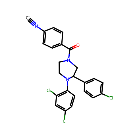 [C-]#[N+]c1ccc(C(=O)N2CCN(c3ccc(Cl)cc3Cl)C(c3ccc(Cl)cc3)C2)cc1